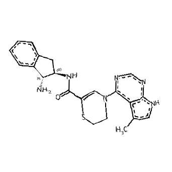 Cc1c[nH]c2ncnc(N3C=C(C(=O)N[C@@H]4Cc5ccccc5[C@H]4N)SCC3)c12